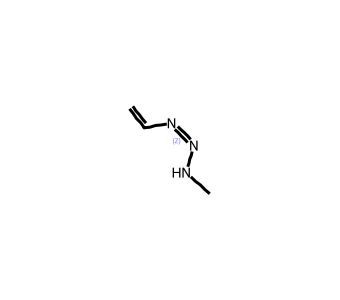 C=C/N=N\NC